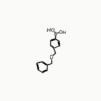 OB(O)c1ccc(COCc2ccccc2)cc1